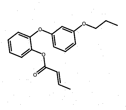 CC=CC(=O)Oc1ccccc1Oc1cccc(OCCC)c1